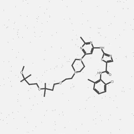 COC(C)(C)CCOC(C)(C)CCOCCN1CCN(c2cc(Nc3ncc(C(=O)Nc4c(C)cccc4Cl)s3)nc(C)n2)CC1